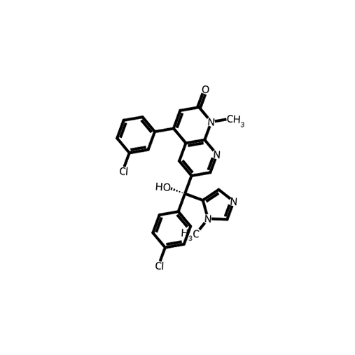 Cn1cncc1[C@@](O)(c1ccc(Cl)cc1)c1cnc2c(c1)c(-c1cccc(Cl)c1)cc(=O)n2C